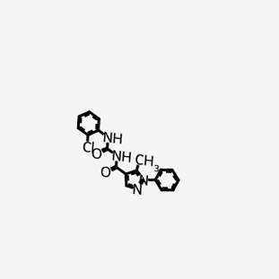 Cc1c(C(=O)NC(=O)Nc2ccccc2Cl)cnn1-c1ccccc1